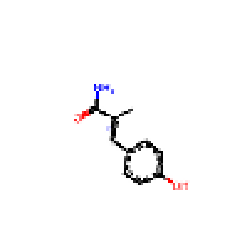 C/C(=C\c1ccc(O)cc1)C(N)=O